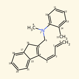 C=C/C=C\C1=C(CN(C)c2ccccc2C)Cc2ccccc21